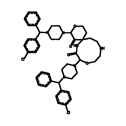 O=C1NC2(CCNCCOC1N1CCN(C(c3ccccc3)c3ccc(Cl)cc3)CC1)CCOC(N1CCN(C(c3ccccc3)c3ccc(Cl)cc3)CC1)C2=O